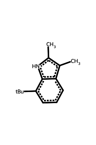 Cc1[nH]c2c(C(C)(C)C)cccc2c1C